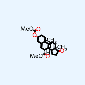 COC(=O)O[C@H]1CC[C@@]2(C)C(=C[C@@H](C(=O)OC)[C@@H]3C2=CC[C@]2(C)C(=O)CC[C@@H]32)C1